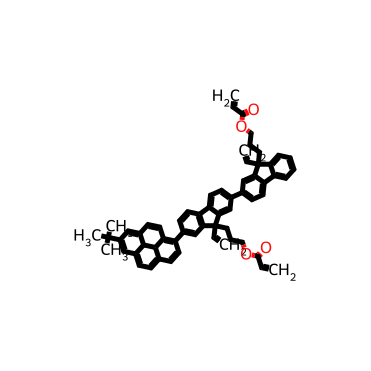 C=CC(=O)OCCCC1(C=C)c2ccccc2-c2ccc(-c3ccc4c(c3)C(C=C)(CCCOC(=O)C=C)c3cc(C5=C6C=CC7=CC(C(C)(C)C)=CC8=CC=C(C=C5)C6C87)ccc3-4)cc21